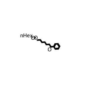 CCCCCCOOCCCCCCC(=O)c1ccccc1